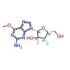 COc1nc(N)nc2c1ncn2[C@@H]1O[C@H](CO)[C@H](F)[C@@]1(C)O